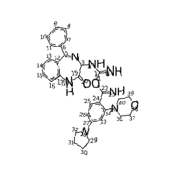 N=C(NC1N=C(c2ccccc2)c2ccccc2NC1=O)OC(=N)c1ccc(N2CCCC2)cc1N1CCOCC1